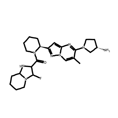 Cc1cn2nc([C@@H]3CCCCN3C(=O)C3NC4CCCCN4C3F)cc2nc1N1CC[C@H](N)C1